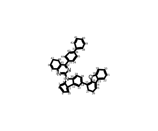 C1=Cc2nc(-n3c4ccccc4c4cc(C5=c6oc7ccccc7c6=CCC5)ccc43)nc(-c3ccc(-c4ccccc4)cc3)c2CC1